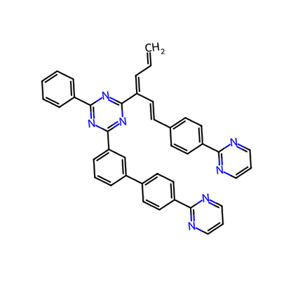 C=C/C=C(\C=C\c1ccc(-c2ncccn2)cc1)c1nc(-c2ccccc2)nc(-c2cccc(-c3ccc(-c4ncccn4)cc3)c2)n1